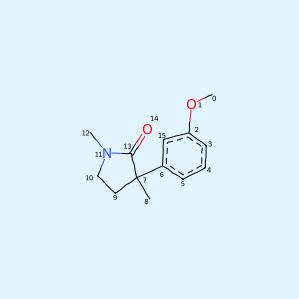 COc1cccc(C2(C)CCN(C)C2=O)c1